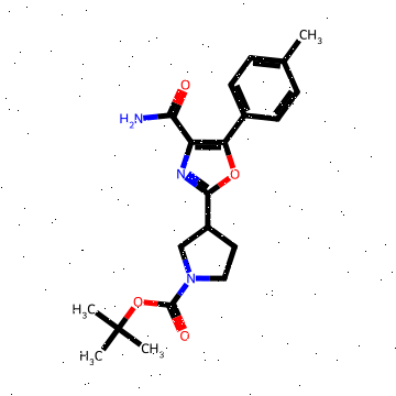 Cc1ccc(-c2oc(C3CCN(C(=O)OC(C)(C)C)C3)nc2C(N)=O)cc1